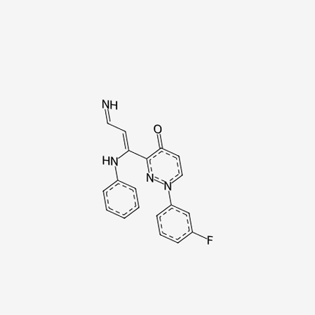 N=C/C=C(\Nc1ccccc1)c1nn(-c2cccc(F)c2)ccc1=O